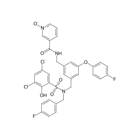 O=C(NCc1cc(CN(Cc2ccc(F)cc2)S(=O)(=O)c2cc(Cl)cc(Cl)c2O)cc(Oc2ccc(F)cc2)c1)c1ccc[n+]([O-])c1